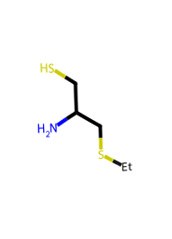 CCSCC(N)CS